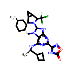 C[C@@H](Nc1nc(-c2noc(=O)[nH]2)nc2c1N(C[C@H]1CC[C@H](C)CC1)C(N1CC3CC3C1C(F)(F)F)N2)C1CCC1